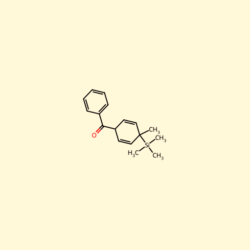 CC1([Si](C)(C)C)C=CC(C(=O)c2ccccc2)C=C1